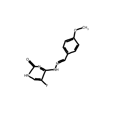 COc1ccc(C=NNc2nc(=O)[nH]cc2F)cc1